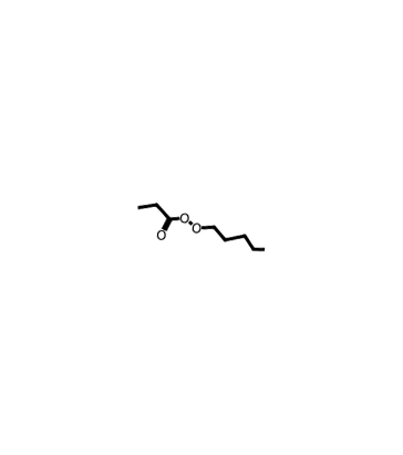 CCCCCOOC(=O)CC